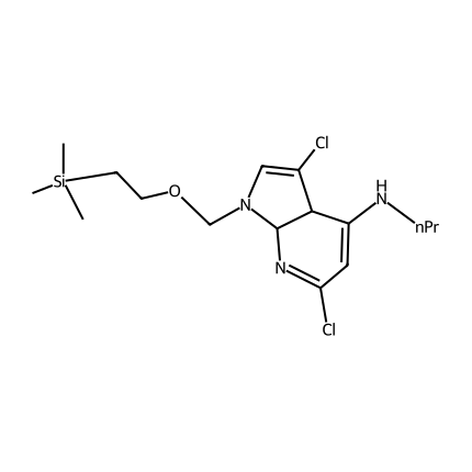 CCCNC1=CC(Cl)=NC2C1C(Cl)=CN2COCC[Si](C)(C)C